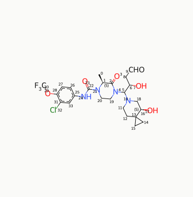 C[C@H]1C(=O)N(C(C(O)CC=O)N2CCC3(CC3)[C@H](O)C2)CCN1C(=O)Nc1ccc(OC(F)(F)F)c(Cl)c1